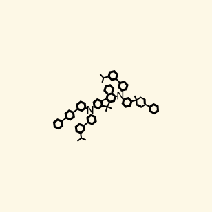 CC(C)c1cccc(-c2cccc(N(c3cccc(-c4ccc(-c5ccccc5)cc4)c3)c3ccc4c(c3)C(C)(C)c3cc(N(c5cccc(-c6cccc(C(C)C)c6)c5)c5cccc(C6(C)C=CC(c7ccccc7)=CC6)c5)c5ccccc5c3-4)c2)c1